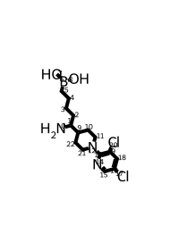 NC(CCCCB(O)O)C1CCN(c2ncc(Cl)cc2Cl)CC1